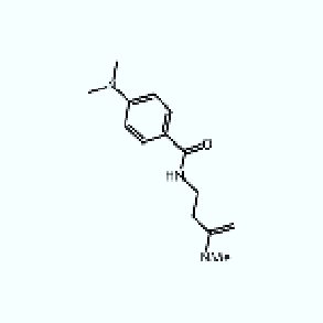 C=C(CCNC(=O)c1ccc(N(C)C)cc1)NC